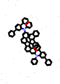 c1ccc(-c2ccc(-c3ccccc3)c(N(c3ccccc3)c3ccc4c5c(ccc4c3)-c3ccc4cc(N(c6ccccc6)c6cc(-c7ccccc7)ccc6-c6ccccc6)ccc4c3C53c4ccccc4-c4c3ccc3ccccc43)c2)cc1